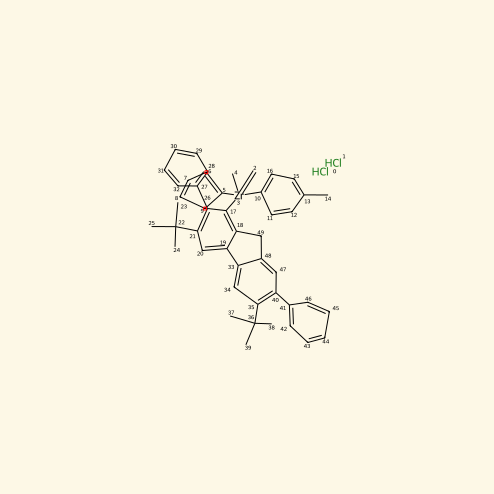 Cl.Cl.[CH2]=[Zr]([CH3])([C]1=CC=CC1)([c]1ccc(C)cc1)[c]1c2c(cc(C(C)(C)C)c1-c1ccccc1)-c1cc(C(C)(C)C)c(-c3ccccc3)cc1C2